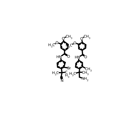 COc1ccc(C(=O)Nc2ccc(C(C)(C)C#N)c(Br)c2)cc1OC.COc1ccc(C(=O)Nc2ccc(C(C)(C)CN)c(C)c2)cc1OC